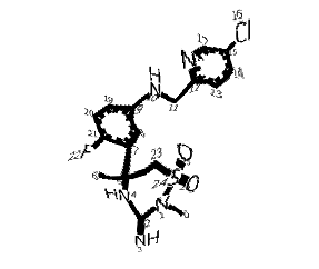 CN1C(=N)NC(C)(c2cc(NCc3ccc(Cl)cn3)ccc2F)CS1(=O)=O